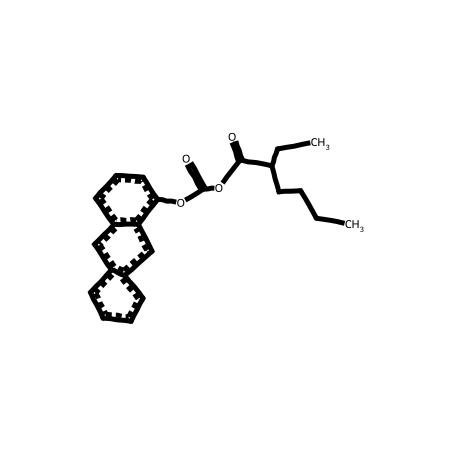 CCCCC(CC)C(=O)OC(=O)Oc1cccc2cc3ccccc3cc12